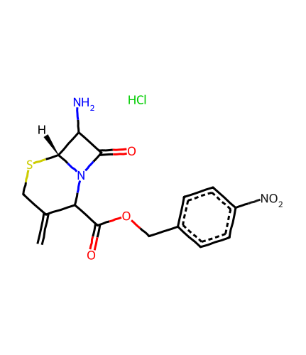 C=C1CS[C@@H]2C(N)C(=O)N2C1C(=O)OCc1ccc([N+](=O)[O-])cc1.Cl